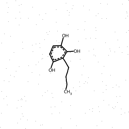 CCCCc1c(O)ccc(O)c1O